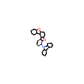 C1=Cc2c(oc3ccc4oc5ccccc5c4c23)C(n2c3ccccc3c3ccccc32)C1